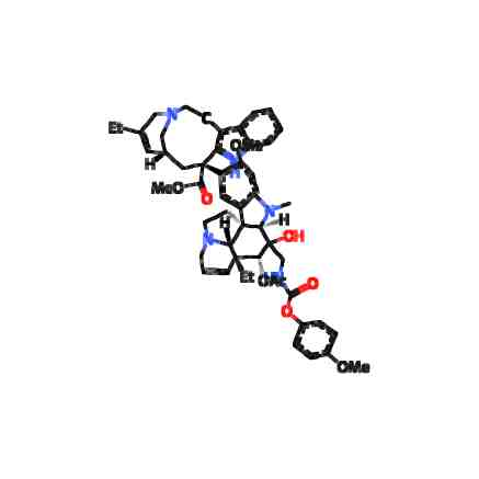 CCC1=C[C@@H]2CN(CCc3c([nH]c4ccccc34)[C@@](C(=O)OC)(c3cc4c(cc3OC)N(C)[C@H]3C(O)(CNC(=O)Oc5ccc(OC)cc5)[C@H](OC(C)=O)[C@]5(CC)C=CCN6CC[C@]43[C@@H]65)C2)C1